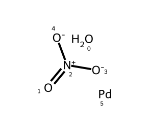 O.O=[N+]([O-])[O-].[Pd]